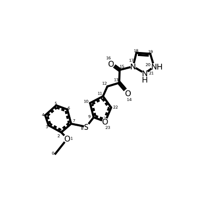 COc1ccccc1Sc1cc(CC(=O)C(=O)N2C=CNN2)co1